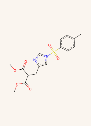 COC(=O)C(Cc1cn(S(=O)(=O)c2ccc(C)cc2)cn1)C(=O)OC